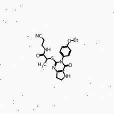 CCOc1ccc(-n2c(SC(C)C(=O)NCCC#N)nc3c(c2=O)NCC3)cc1